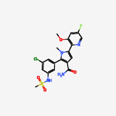 COc1cc(F)cnc1-c1cc(C(N)=O)c(-c2cc(Cl)cc(NS(C)(=O)=O)c2)n1C